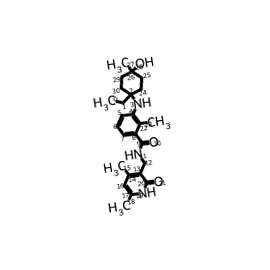 CCC1(Nc2cccc(C(=O)NCc3c(C)cc(C)[nH]c3=O)c2C)CCC(C)(O)CC1